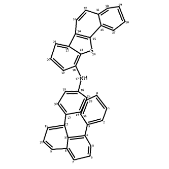 c1ccc(-c2cccc3cccc(-c4ccc(Nc5cccc6c5sc5c7ccccc7ccc65)cc4)c23)cc1